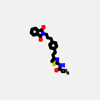 CC(=O)Nc1nc(CCc2ccc(CCCN3C(=O)c4ccccc4C3=O)cc2)cs1